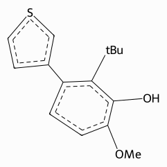 COc1ccc(-c2ccsc2)c(C(C)(C)C)c1O